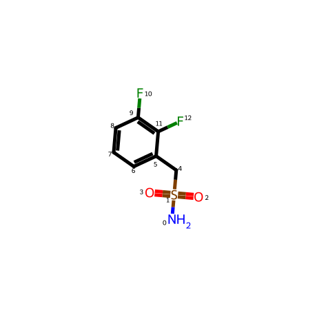 NS(=O)(=O)Cc1cccc(F)c1F